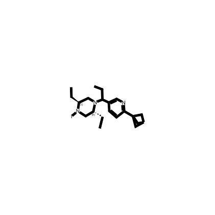 CCC(c1ccc(C23CC(C2)C3)nc1)N1C[C@H](CC)N(I)C[C@H]1CC